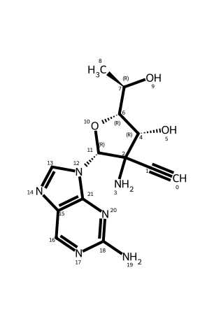 C#CC1(N)[C@@H](O)[C@@H]([C@@H](C)O)O[C@H]1n1cnc2cnc(N)nc21